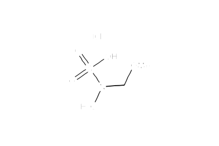 COCN(C)S(=O)(=O)O.Cl